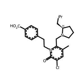 Cc1cc(Cl)c(=O)n(CCc2ccc(C(=O)O)cc2)c1CN1CCC[C@@H]1CC(C)C